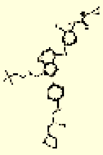 C[Si](C)(C)CCOCn1c(-c2ccc(OC[C@H](O)CN3CCCC3)cc2)cc2c(Oc3ccc(NC(=O)NC4CC4)c(F)c3)ncnc21